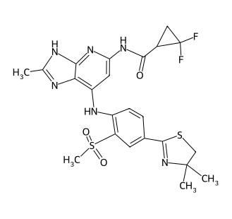 Cc1nc2c(Nc3ccc(C4=NC(C)(C)CS4)cc3S(C)(=O)=O)cc(NC(=O)C3CC3(F)F)nc2[nH]1